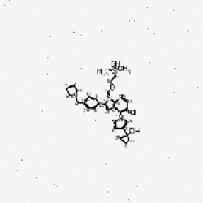 C[Si](C)(C)CCOCn1c(-c2ccc(CN3CCCC3)cc2)cc2c(-n3cc(C4(O)CCC4)cn3)c(Cl)cnc21